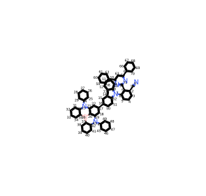 N#Cc1cccc(-n2c3ccccc3c3cc(-c4cc5c6c(c4)N(c4ccccc4)c4ccccc4B6c4ccccc4N5c4ccccc4)ccc32)c1-c1nc(-c2ccccc2)cc(-c2ccccc2)n1